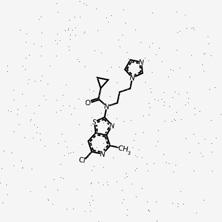 Cc1nc(Cl)cc2sc(N(CCCn3ccnc3)C(=O)C3CC3)nc12